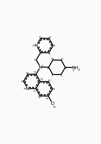 NC1CCC(N(Cc2ccccn2)c2ccnc3cc(Cl)ccc23)CC1